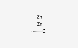 [CH2]Cl.[Zn].[Zn]